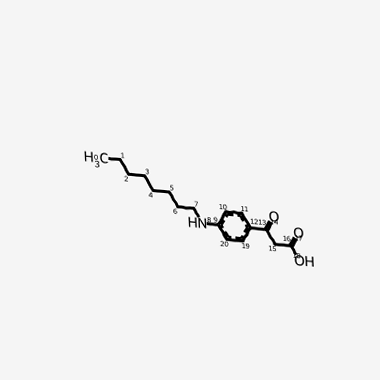 CCCCCCCCNc1ccc(C(=O)CC(=O)O)cc1